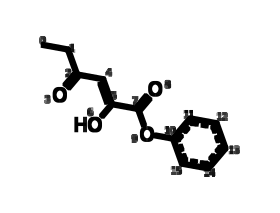 CCC(=O)C=C(O)C(=O)Oc1ccccc1